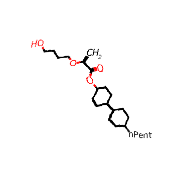 C=C(OCCCCO)C(=O)OC1CCC(C2CCC(CCCCC)CC2)CC1